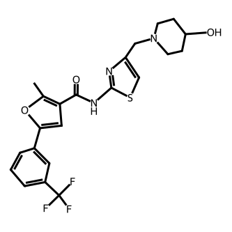 Cc1oc(-c2cccc(C(F)(F)F)c2)cc1C(=O)Nc1nc(CN2CCC(O)CC2)cs1